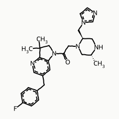 C[C@@H]1CN(CC(=O)N2CC(C)(C)c3ncc(Cc4ccc(F)cc4)cc32)[C@@H](Cn2ccnc2)CN1